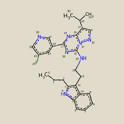 CCCc1[nH]c2ccccc2c1CCNc1nc(-c2cncc(F)c2)nc2c(C(C)C)cnn12